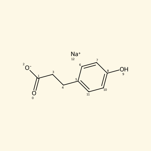 O=C([O-])CCc1ccc(O)cc1.[Na+]